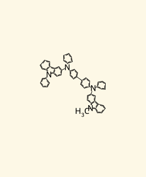 Cn1c2ccccc2c2cc(N(c3ccccc3)c3ccc(-c4ccc(N(c5ccccc5)c5ccc6c(c5)c5ccccc5n6-c5ccccc5)cc4)cc3)ccc21